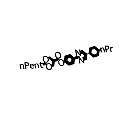 CCCCCC1OCC(C(=O)Oc2ccc(-c3ncc([C@H]4CC[C@H](CCC)CC4)cn3)cc2)CO1